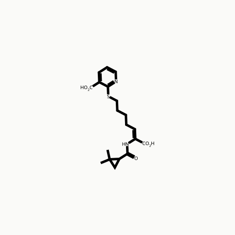 CC1(C)CC1C(=O)N/C(=C\CCCCSc1ncccc1C(=O)O)C(=O)O